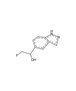 OC(CF)c1ccc2[nH]ncc2c1